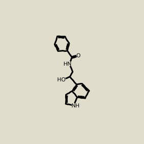 O=C(NCC(O)c1cccc2[nH]ccc12)c1ccccc1